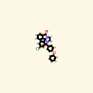 O=C(c1ccc(Oc2ccccc2)cc1)N1CCN2C(=O)c3ccccc3C12c1ccc(Cl)cc1